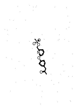 CC(=O)Cc1ccc(Oc2cccc(COS(C)(=O)=O)n2)cc1